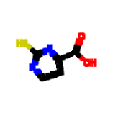 O=C(O)c1ccnc(S)n1